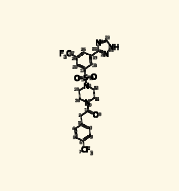 O=C(Cc1ccc(C(F)(F)F)cc1)N1CCN(S(=O)(=O)c2cc(-c3nc[nH]n3)cc(C(F)(F)F)c2)CC1